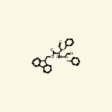 O=C[C@H](Cc1ccccc1)NN(C(=O)OCC1c2ccccc2-c2ccccc21)[C@H](C=O)Cc1ccccc1